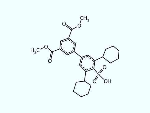 COC(=O)c1cc(C(=O)OC)cc(-c2cc(C3CCCCC3)c(S(=O)(=O)O)c(C3CCCCC3)c2)c1